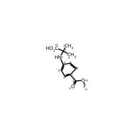 CC(C)(Nc1ccc(C(=O)OF)cc1)C(=O)O